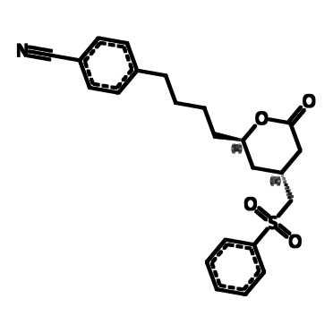 N#Cc1ccc(CCCC[C@@H]2C[C@@H](CS(=O)(=O)c3ccccc3)CC(=O)O2)cc1